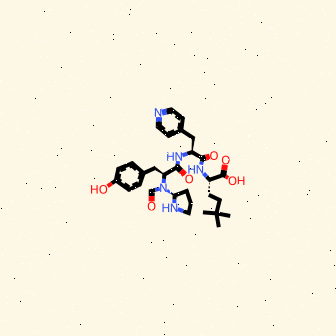 CC(C)(C)CC[C@H](NC(=O)[C@H](Cc1ccncc1)NC(=O)[C@H](Cc1ccc(O)cc1)N(C=O)[C@H]1CCCN1)C(=O)O